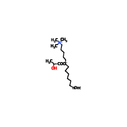 CC(O)C(=O)[O-].CCCCCCCCCCCCCCCCCCCCCC[N+](C)(C)C